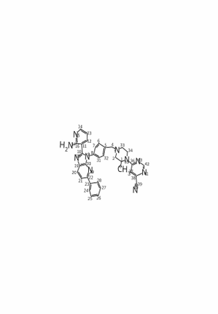 CC1CN(Cc2ccc(-n3c(-c4cccnc4N)nc4ccc(-c5ccccc5)nc43)cc2)CCN1c1cc(C#N)ncn1